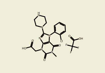 Cn1c(=O)c2c(nc(N3CCNCC3)n2-c2ccccc2Cl)n(CC(=O)O)c1=O.O=C(O)C(F)(F)F